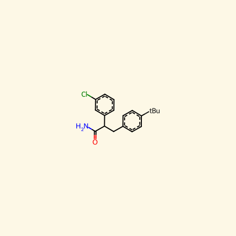 CC(C)(C)c1ccc(CC(C(N)=O)c2cccc(Cl)c2)cc1